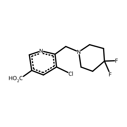 O=C(O)c1cnc(CN2CCC(F)(F)CC2)c(Cl)c1